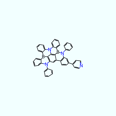 c1ccc(N2B3c4ccccc4N4c5ccccc5B5c6ccccc6N(c6ccccc6)c6cc(c3c4c65)-c3ccc(-c4ccncc4)cc32)cc1